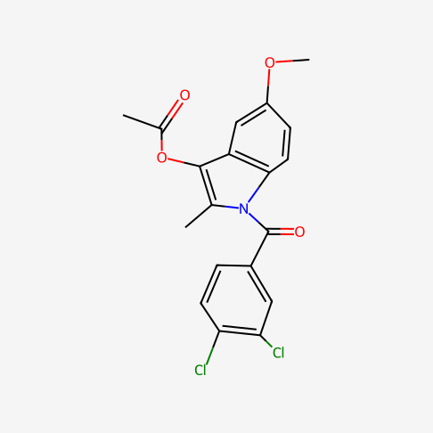 COc1ccc2c(c1)c(OC(C)=O)c(C)n2C(=O)c1ccc(Cl)c(Cl)c1